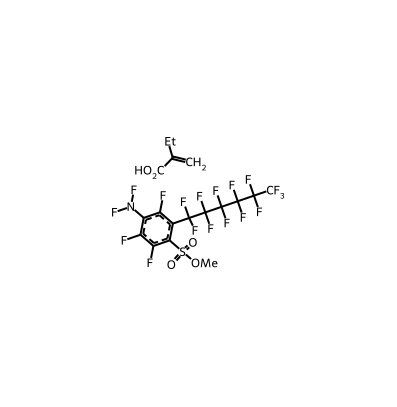 C=C(CC)C(=O)O.COS(=O)(=O)c1c(F)c(F)c(N(F)F)c(F)c1C(F)(F)C(F)(F)C(F)(F)C(F)(F)C(F)(F)C(F)(F)F